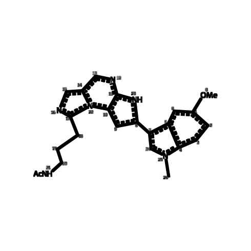 COc1ccc2c(c1)c(-c1cc3c(ncc4cnc(CCCNC(C)=O)n43)[nH]1)cn2C